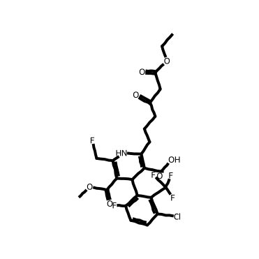 CCOC(=O)CC(=O)CCCC1=C(C(=O)O)C(c2c(F)ccc(Cl)c2C(F)(F)F)C(C(=O)OC)=C(CF)N1